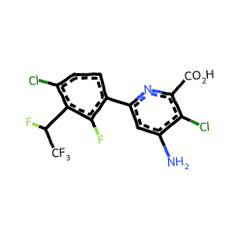 Nc1cc(-c2ccc(Cl)c(C(F)C(F)(F)F)c2F)nc(C(=O)O)c1Cl